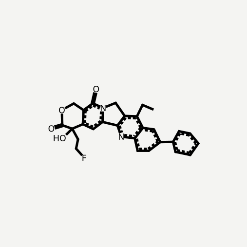 CCc1c2c(nc3ccc(-c4ccccc4)cc13)-c1cc3c(c(=O)n1C2)COC(=O)C3(O)CCF